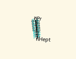 CCCCCCCC(F)(F)C(F)(F)C(F)(F)C(F)(F)C(F)(F)C(F)(F)C(F)(F)C(F)(F)CCC